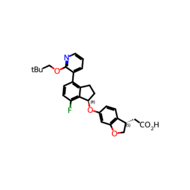 CC(C)(C)COc1ncccc1-c1ccc(F)c2c1CC[C@H]2Oc1ccc2c(c1)OC[C@H]2CC(=O)O